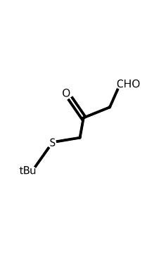 CC(C)(C)SCC(=O)CC=O